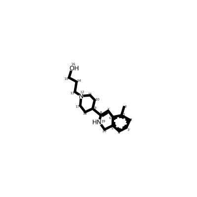 Cc1cccc2c1C=C(C1CCN(CCCO)CC1)NC2